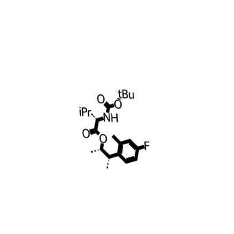 Cc1cc(F)ccc1[C@H](C)[C@H](C)OC(=O)[C@@H](NC(=O)OC(C)(C)C)C(C)C